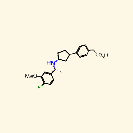 COc1cc([C@@H](C)N[C@H]2CC[C@@H](c3ccc(CC(=O)O)cc3)C2)ccc1F